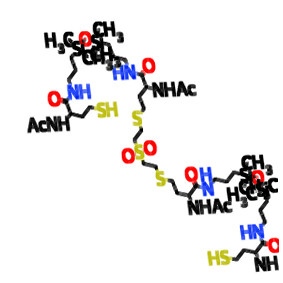 CC(=O)NC(CCS)C(=O)NCCC[Si](C)(C)O[Si](C)(C)CCCNC(=O)C(CCSCCS(=O)(=O)CCSCCC(NC(C)=O)C(=O)NCCC[Si](C)(C)O[Si](C)(C)CCCNC(=O)C(CCS)NC(C)=O)NC(C)=O